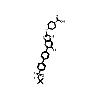 CC(C)(C)NS(=O)(=O)c1ccc(-c2ccc(-c3nc4nc(O[C@H]5CC[C@H](C(=O)O)CC5)[nH]c4cc3Cl)cc2)cc1